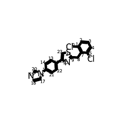 Clc1cccc(Cl)c1Cc1nc(-c2ccc(-n3ccnc3)cc2)cs1